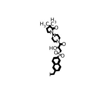 CC1(C)CCN(N2CCN(C(=O)[C@H](O)CS(=O)(=O)c3ccc4cc(CI)ccc4c3)CC2)C1=O